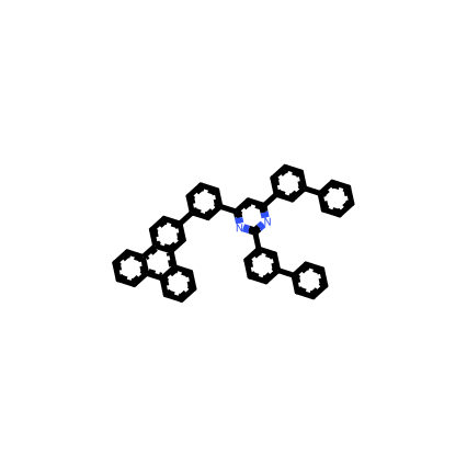 c1ccc(-c2cccc(-c3cc(-c4cccc(-c5ccc6c7ccccc7c7ccccc7c6c5)c4)nc(-c4cccc(-c5ccccc5)c4)n3)c2)cc1